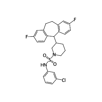 O=S(=O)(Nc1cccc(Cl)c1)N1CCCC(C2c3ccc(F)cc3CCc3cc(F)ccc32)C1